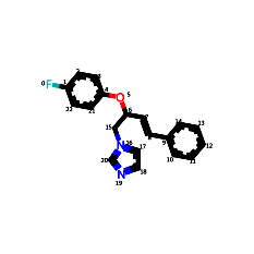 Fc1ccc(OC(C=Cc2ccccc2)Cn2ccnc2)cc1